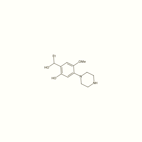 CCC(O)c1cc(OC)c(N2CCNCC2)cc1O